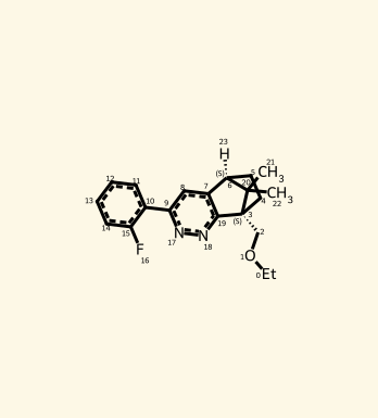 CCOC[C@]12CC[C@H](c3cc(-c4ccccc4F)nnc31)C2(C)C